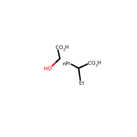 CCCC(CC)C(=O)O.O=C(O)CO